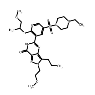 CCCc1c2nc(-c3cc(S(=O)(=O)N4CCN(CC)CC4)cnc3OC(C)COC)[nH]c(=O)c2nn1CCOC